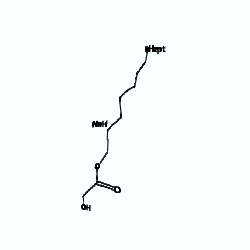 CCCCCCCCCCCCCCOC(=O)CO.[NaH]